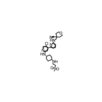 CS(=O)(=O)CCN[C@H]1CC[C@H](Nc2cc(-c3cccc(NCC4(C#N)CCOCC4)n3)c(Cl)cn2)CC1